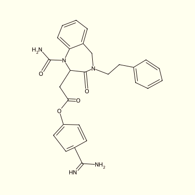 N=C(N)c1ccc(OC(=O)CC2C(=O)N(CCc3ccccc3)Cc3ccccc3N2C(N)=O)cc1